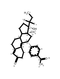 CCC(F)(F)[C@]1(O)CCC2C3CCC4=CC(=O)CCC4=C3[C@@H](c3ccc(C(C)=O)cc3)C[C@@]21C